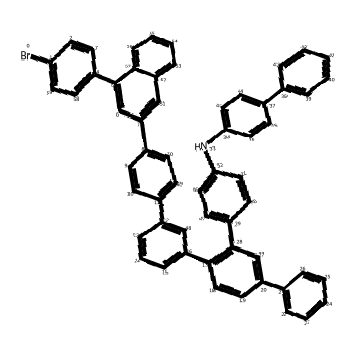 Brc1ccc(-c2cc(-c3ccc(-c4cccc(-c5ccc(-c6ccccc6)cc5-c5ccc(Nc6ccc(-c7ccccc7)cc6)cc5)c4)cc3)cc3ccccc23)cc1